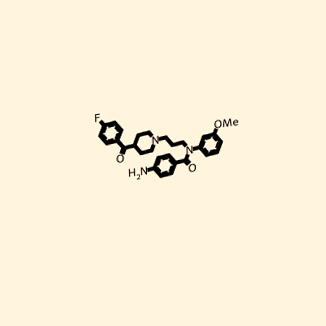 COc1cccc(N(CCCN2CCC(C(=O)c3ccc(F)cc3)CC2)C(=O)c2ccc(N)cc2)c1